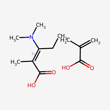 C=C(C)C(=O)O.CC/C(=C(/C)C(=O)O)N(C)C